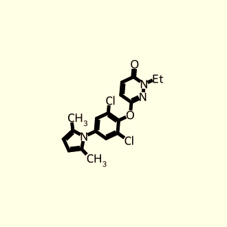 CCn1nc(Oc2c(Cl)cc(-n3c(C)ccc3C)cc2Cl)ccc1=O